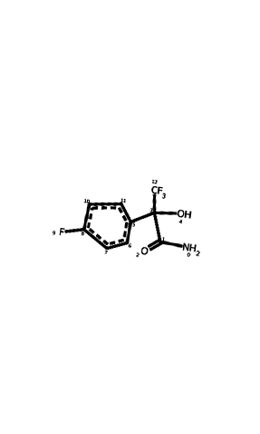 NC(=O)C(O)(c1ccc(F)cc1)C(F)(F)F